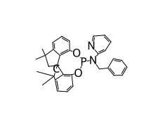 CC1(C)CC23CC(C)(C)c4cccc(c42)OP(N(Cc2ccccc2)c2ccccn2)Oc2cccc1c23